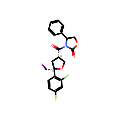 O=C1OCC(c2ccccc2)N1C(=O)[C@@H]1CO[C@@](CI)(c2ccc(F)cc2F)C1